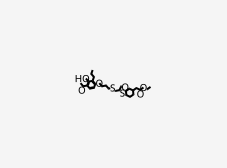 CCCc1c(OCCCSCC2COC3(CCCC(CC(=O)OCC)C3)S2)ccc(C(C)=O)c1O